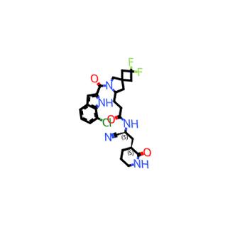 N#C[C@H](C[C@@H]1CCCNC1=O)NC(=O)CCC1CC2(CN1C(=O)c1cc3cccc(Cl)c3[nH]1)CC(F)(F)C2